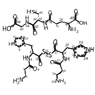 NCCC(=O)NC(Cc1c[nH]cn1)C(=O)SSC(=O)C(Cc1c[nH]cn1)NC(=O)CCN.N[C@@H](CCC(=O)N[C@@H](CS)C(=O)NCC(=O)O)C(=O)O